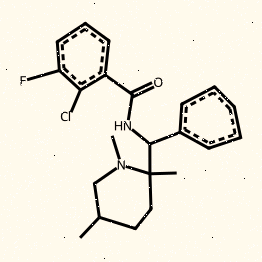 CC1CCC(C)(C(NC(=O)c2cccc(F)c2Cl)c2ccccc2)N(C)C1